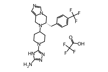 Nc1nnc(N2CCC(N3Cc4cncn4C[C@@H]3Cc3ccc(C(F)(F)F)cc3)CC2)[nH]1.O=C(O)C(F)(F)F